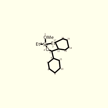 CC[Si](CC)(OC)OC(C1CCCCC1)C1CCCCC1